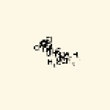 CCC(=O)O[C@@H](OC(=O)NC[C@H](Oc1cc(Cl)ccc1Cl)C(=O)O)C(C)C